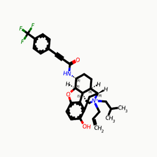 C=CC[N+]1(CC(C)C)CC[C@@]23c4c5ccc(O)c4C[C@@H]1[C@@H]2CC[C@@H](NC(=O)C#Cc1ccc(C(F)(F)F)cc1)[C@@H]3O5